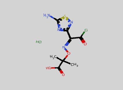 CC(C)(O/N=C(\C(=O)Cl)c1nsc(N)n1)C(=O)O.Cl